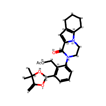 C=C1OB(c2cccc(N3CCn4c(cc5c4CCCC5)C3=O)c2COC(C)=O)OC1(C)C